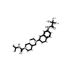 CCN(CC1CCN(C(=O)NC(C)C)CC1)C1CCc2ccc(NC(=O)C(F)(F)F)cc2C1